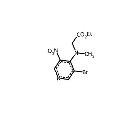 CCOC(=O)CN(C)c1c(Br)cncc1[N+](=O)[O-]